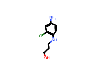 Nc1ccc(NCCCO)c(Cl)c1